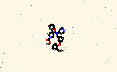 COc1ccccc1Oc1cccc(CN(C(=O)C2(c3ccccc3)CCN(C(=O)OC(C)(C)C)CC2)C2CCNCC2)c1